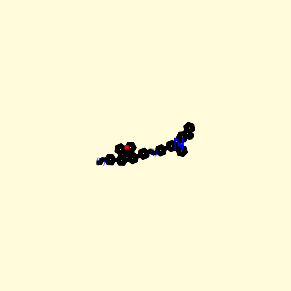 C/C=C/c1ccc(-c2ccc3c(c2)C(c2ccccc2)(c2ccccc2)c2cc(-c4ccc(/C=C/c5ccc(-c6ccc7c(c6)c6ccccc6n7-c6ccc7c(c6)C(C)(C)c6ccccc6-7)cc5)cc4)ccc2-3)cc1